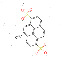 O=S(=O)([O-])c1ccc2ccc3c(S(=O)(=O)[O-])ccc4ccc1c2c43.[K+].[K+]